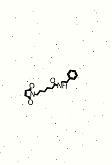 O=C(CCCCCN1C(=O)C=CC1=O)NCCc1ccccc1